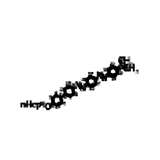 CCCCCCCOc1ccc(-c2ccc(N=Nc3ccc(N=Nc4ccc(N(C)C)cc4)cc3)cc2)cc1